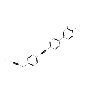 CCC#CCc1ccc(C#Cc2ccc(-c3ccc(CCC)c(F)c3)cc2)cc1